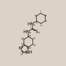 S=C(NC1CCCCC1)NC1CCc2[nH]cnc2C1